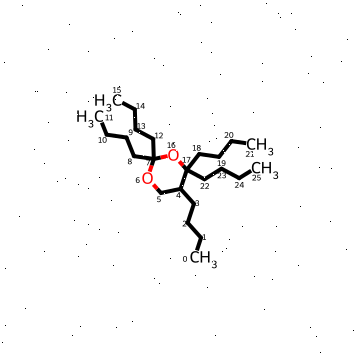 CCCCC1COC(CCCC)(CCCC)OC1(CCCC)CCCC